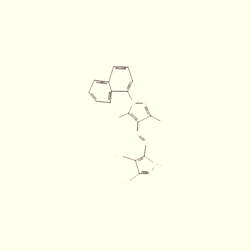 Cc1nn(-c2cccc3ccccc23)c(O)c1/N=N/c1[nH]nc(C(C)(C)C)c1C#N